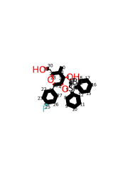 CC1[C@H](O)C(O[Si](c2ccccc2)(c2ccccc2)C(C)(C)C)[C@H](c2ccc(F)cc2)O[C@@H]1CO